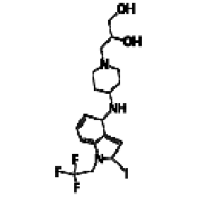 OCC(O)CN1CCC(NC2C=CC=C3C2=CC(I)N3CC(F)(F)F)CC1